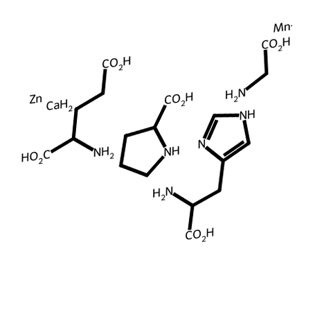 NC(CCC(=O)O)C(=O)O.NC(Cc1c[nH]cn1)C(=O)O.NCC(=O)O.O=C(O)C1CCCN1.[CaH2].[Mn].[Zn]